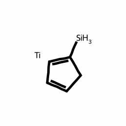 [SiH3]C1=CC=CC1.[Ti]